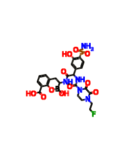 NS(=O)(=O)c1ccc(C(NC(=O)N2CCN(CCF)C(=O)C2=O)C(=O)NC2Cc3cccc(C(=O)O)c3OB2O)cc1O